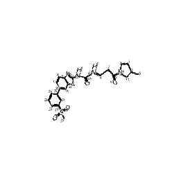 CC1CCN(C(=O)CCNC(=O)Nc2nc3ccc(-c4cccc(S(C)(=O)=O)c4)cc3s2)C1